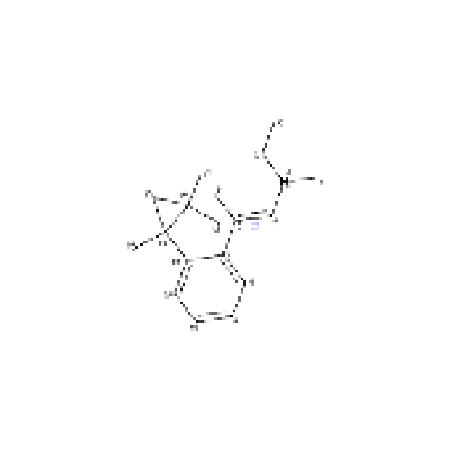 CCN(C)/C=C(\C)c1ccccc1C1(C)CC1(C)C